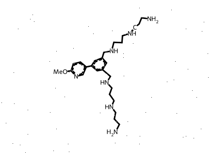 COc1ccc(-c2cc(CNCCCNCCCN)cc(CNCCCNCCCN)c2)cn1